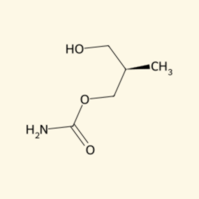 C[C@H](CO)COC(N)=O